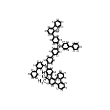 CC1(C)c2cc(N(c3ccc(-c4ccc(N(c5ccc(-c6ccccc6)cc5)c5ccc(-c6cccc7c6oc6ccccc67)cc5)cc4)cc3)c3cccc(-c4ccccc4)c3)ccc2-c2c1ccc1c3ccccc3c3ccccc3c21